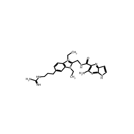 CCn1c(CNC(=O)c2nc3cc[nH]c3nc2N)[n+](CC)c2ccc(CCCNC(=N)N)cc21